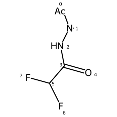 CC(=O)[N]NC(=O)C(F)F